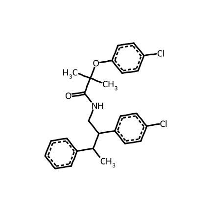 CC(c1ccccc1)C(CNC(=O)C(C)(C)Oc1ccc(Cl)cc1)c1ccc(Cl)cc1